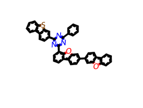 c1ccc(-c2nc(-c3ccc4c(c3)sc3ccccc34)nc(-c3cccc4c3oc3cc(-c5ccc6c(c5)oc5ccccc56)ccc34)n2)cc1